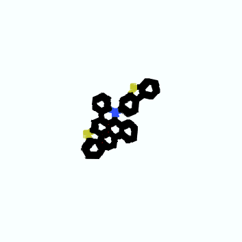 c1ccc(N(c2ccc3c(c2)sc2ccccc23)c2cc3ccccc3c3ccccc23)c(-c2ccc3c(c2)sc2ccccc23)c1